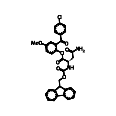 COc1ccc(OC(=O)[C@H](CC(N)=O)NC(=O)OCC2c3ccccc3-c3ccccc32)c(C(=O)c2ccc(Cl)cc2)c1